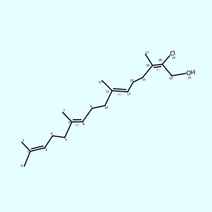 CC(C)=CCC/C(C)=C/CC/C(C)=C/CC/C(C)=C(/Cl)CO